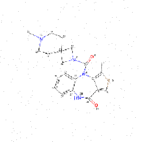 Cc1scc2c1N(C(=O)N1CC3(CCN(C)CC3)C1)c1ccccc1NC2=O